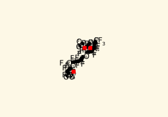 O=S(=O)(F)C(F)(F)C(F)(F)OC(F)(C(F)(F)F)C(F)(F)C(F)=C(F)OC(F)=C(F)C(F)(F)C(F)(OC(F)(F)C(F)(F)S(=O)(=O)F)C(F)(F)F